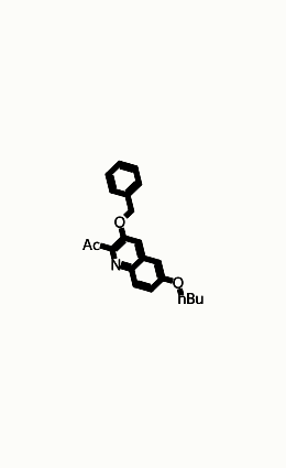 CCCCOc1ccc2nc(C(C)=O)c(OCc3ccccc3)cc2c1